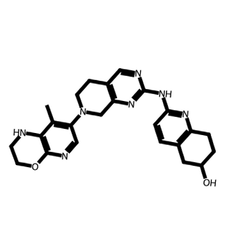 Cc1c(N2CCc3cnc(Nc4ccc5c(n4)CCC(O)C5)nc3C2)cnc2c1NCCO2